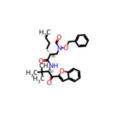 CCCC[C@H](CN(C=O)OCc1ccccc1)C(=O)N[C@H](C(=O)c1cc2ccccc2o1)C(C)(C)C